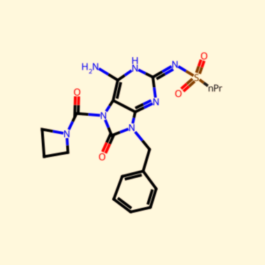 CCCS(=O)(=O)N=c1nc2c(c(N)[nH]1)n(C(=O)N1CCC1)c(=O)n2Cc1ccccc1